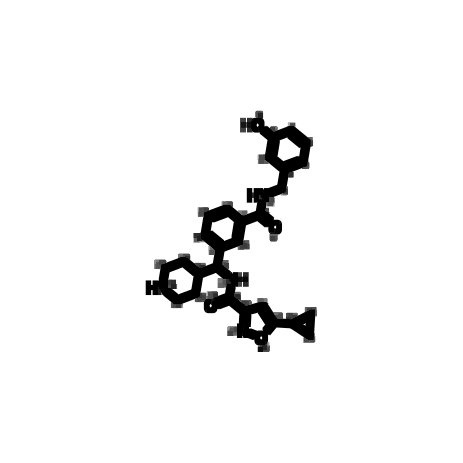 O=C(NCc1cccc(O)c1)c1cccc(C(NC(=O)c2cc(C3CC3)on2)C2CCNCC2)c1